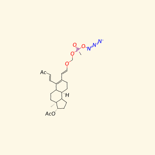 CC(=O)/C=C/C1=C(/C=C/OCOP(C)(=O)ON=[N+]=[N-])CC[C@@H]2C1CC[C@@]1(C)C2CC[C@@H]1OC(C)=O